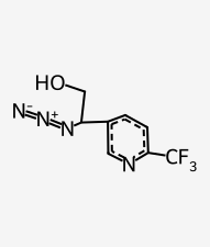 [N-]=[N+]=NC(CO)c1ccc(C(F)(F)F)nc1